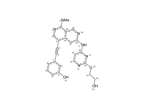 CNc1ncc(C#Cc2cccc(O)c2)c2cc(Nc3ccnc(OCCO)n3)ncc12